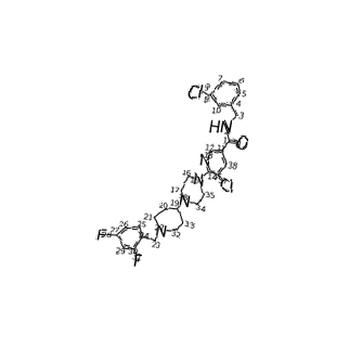 O=C(NCc1cccc(Cl)c1)c1cnc(N2CCN(C3CCN(Cc4ccc(F)cc4F)CC3)CC2)c(Cl)c1